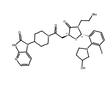 CC(C)(C)CCN1C(=O)[C@H](CC(=O)N2CCC(n3c(=O)[nH]c4ncccc43)CC2)S[C@H]1c1cccc(F)c1N1CCC(O)C1